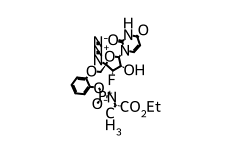 CCOC(=O)[C@H](C)/N=[P+](\[O-])Oc1ccccc1OC[C@@]1(N=[N+]=[N-])O[C@@H](n2ccc(=O)[nH]c2=O)[C@H](O)[C@@H]1F